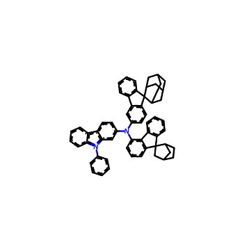 c1ccc(-n2c3ccccc3c3ccc(N(c4ccc5c(c4)-c4ccccc4C54C5CC6CC(C5)CC4C6)c4cccc5c4-c4ccccc4C54CC5CCC4C5)cc32)cc1